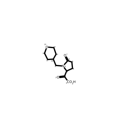 O=C(O)C(=O)C1CCC(=O)N1CC1CCOCC1